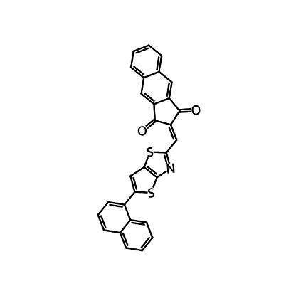 O=C1C(=Cc2nc3sc(-c4cccc5ccccc45)cc3s2)C(=O)c2cc3ccccc3cc21